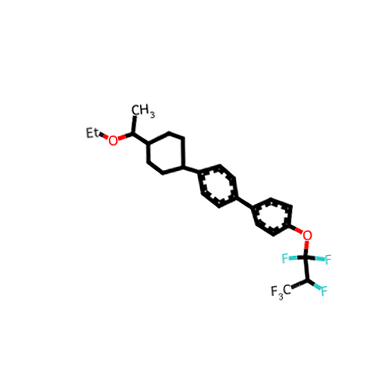 CCOC(C)C1CCC(c2ccc(-c3ccc(OC(F)(F)C(F)C(F)(F)F)cc3)cc2)CC1